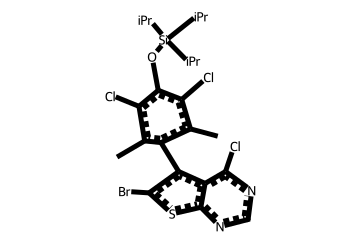 Cc1c(Cl)c(O[Si](C(C)C)(C(C)C)C(C)C)c(Cl)c(C)c1-c1c(Br)sc2ncnc(Cl)c12